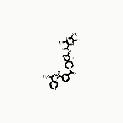 CC(NS(=O)(=O)c1cccc(C(=O)N2CCC3(CC2)CN/C(=N\C(=O)c2nc(Cl)c(N)nc2N)N3)c1)c1ccncc1